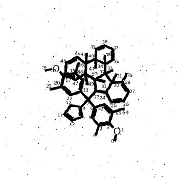 COc1c(C)cc(C(C2=CC=CC2)(c2cc(C)c(OC)c(C)c2)C2C3C=CC=C(C)C3(C)C3(C)C4(C)C=CC=CC4(C)C4(C)C=CC=CC4(C)C23C)cc1C